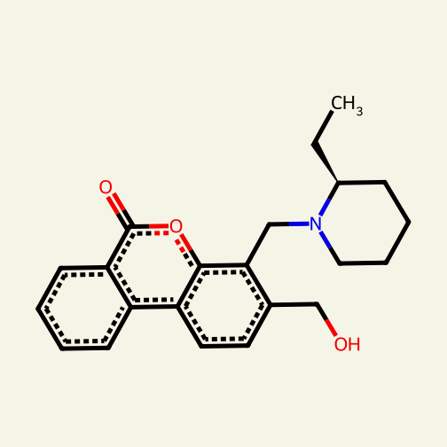 CC[C@H]1CCCCN1Cc1c(CO)ccc2c1oc(=O)c1ccccc12